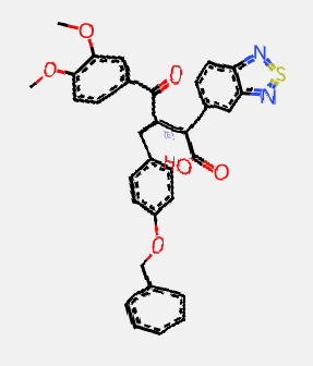 COc1ccc(C(=O)/C(Cc2ccc(OCc3ccccc3)cc2)=C(/C(=O)O)c2ccc3nsnc3c2)cc1OC